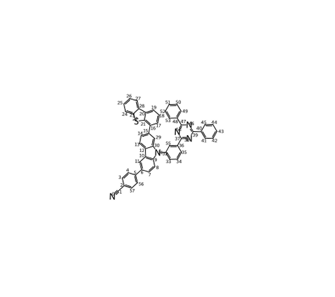 N#Cc1ccc(-c2ccc3c(c2)c2ccc(-c4cccc5c4sc4ccccc45)cc2n3-c2cccc(-c3nc(-c4ccccc4)nc(-c4ccccc4)n3)c2)cc1